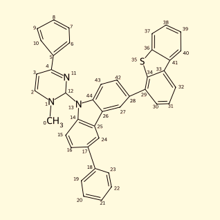 CN1C=CC(c2ccccc2)=NC1n1c2ccc(-c3ccccc3)cc2c2cc(-c3cccc4c3sc3ccccc34)ccc21